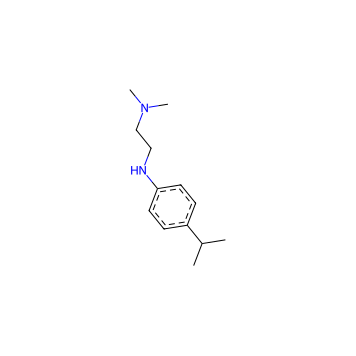 CC(C)c1ccc(NCCN(C)C)cc1